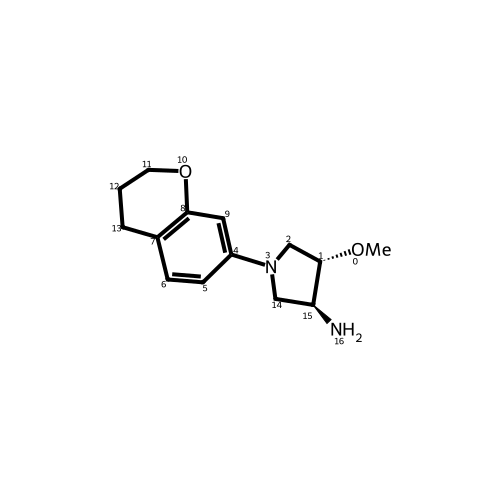 CO[C@H]1CN(c2ccc3c(c2)OCCC3)C[C@@H]1N